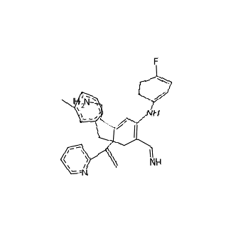 C=C(c1ccccn1)C1(Cc2cccc(C)c2)CC(C=N)=C(NC2=CC=C(F)CC2)C=C1CCN